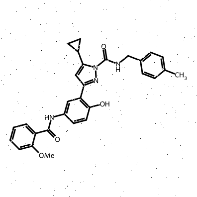 COc1ccccc1C(=O)Nc1ccc(O)c(-c2cc(C3CC3)n(C(=O)NCc3ccc(C)cc3)n2)c1